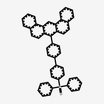 O=P(c1ccccc1)(c1ccccc1)c1ccc(-c2ccc(-c3c4ccc5ccccc5c4cc4c3ccc3ccccc34)cc2)cc1